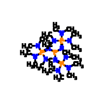 CN(C)P(=NP(N=P(N(C)C)(N(C)C)N(C)C)N=P(N(C)C)(N(C)C)N(C)C)(N(C)C)N(C)C